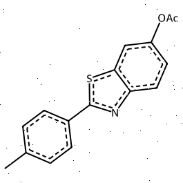 CC(=O)Oc1ccc2nc(-c3ccc(C)cc3)sc2c1